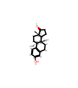 C[C@@]12CCC(=O)[C@@]1(C)CC[C@@H]1c3ccc(O)cc3CC[C@H]12